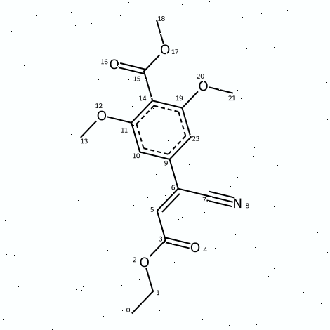 CCOC(=O)C=C(C#N)c1cc(OC)c(C(=O)OC)c(OC)c1